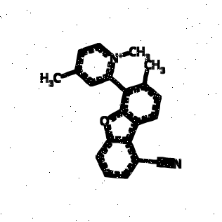 Cc1cc[n+](C)c(-c2c(C)ccc3c2oc2cccc(C#N)c23)c1